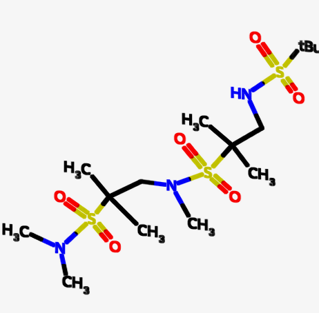 CN(C)S(=O)(=O)C(C)(C)CN(C)S(=O)(=O)C(C)(C)CNS(=O)(=O)C(C)(C)C